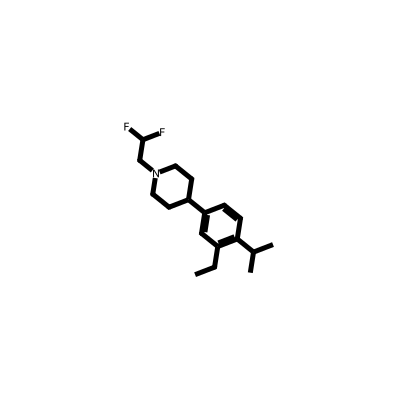 CCc1cc(C2CCN(CC(F)F)CC2)ccc1C(C)C